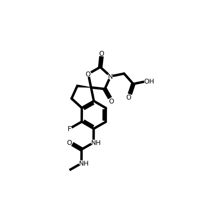 CNC(=O)Nc1ccc2c(c1F)CC[C@]21OC(=O)N(CC(=O)O)C1=O